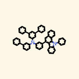 c1ccc(-c2cccc(N(c3cc(-c4ccccc4)cc(-c4ccccc4)c3)c3cccc(-c4cc5ccccc5c5c4c4ccccc4n5-c4ccccc4)c3)c2)cc1